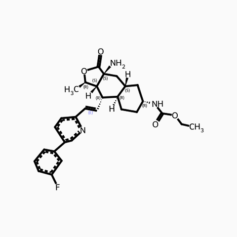 CCOC(=O)N[C@@H]1CC[C@@H]2[C@@H](C1)C[C@@]1(N)C(=O)O[C@H](C)[C@H]1[C@H]2/C=C/c1ccc(-c2cccc(F)c2)cn1